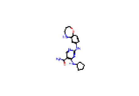 NC(=O)c1cnc(Nc2ccc3c(c2)NCCCO3)nc1NC1CCCC1